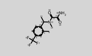 Cc1cc(C(F)(F)F)ccc1C(C)N(C)C(=O)C(N)=O